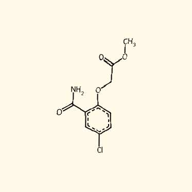 COC(=O)COc1ccc(Cl)cc1C(N)=O